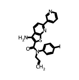 C=CCN(C(=O)c1sc2nc(-c3cccnc3)ccc2c1N)c1ccc(I)cc1